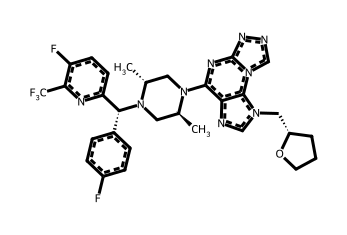 C[C@@H]1CN(c2nc3nncn3c3c2ncn3C[C@@H]2CCCO2)[C@@H](C)CN1[C@H](c1ccc(F)cc1)c1ccc(F)c(C(F)(F)F)n1